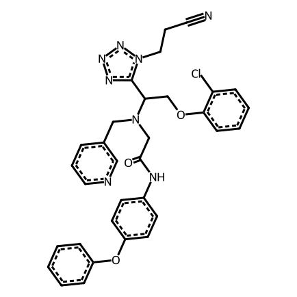 N#CCCn1nnnc1C(COc1ccccc1Cl)N(CC(=O)Nc1ccc(Oc2ccccc2)cc1)Cc1cccnc1